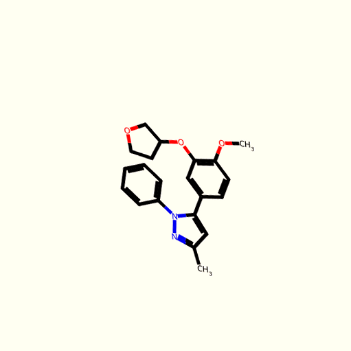 COc1ccc(-c2cc(C)nn2-c2ccccc2)cc1OC1CCOC1